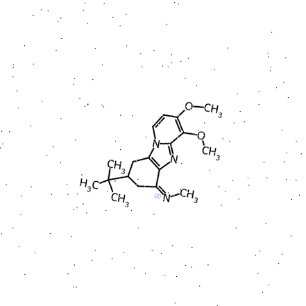 C/N=C1/CC(C(C)(C)C)Cc2c1nc1c(OC)c(OC)ccn21